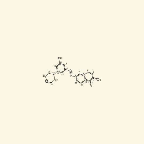 Cn1c(=O)ccc2cc(COc3cc(F)cc(C4CCOCC4)c3)ccc21